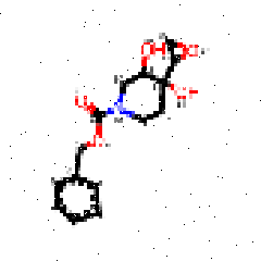 O=C(OCc1ccccc1)N1CCC(O)(C2CO2)C(O)C1